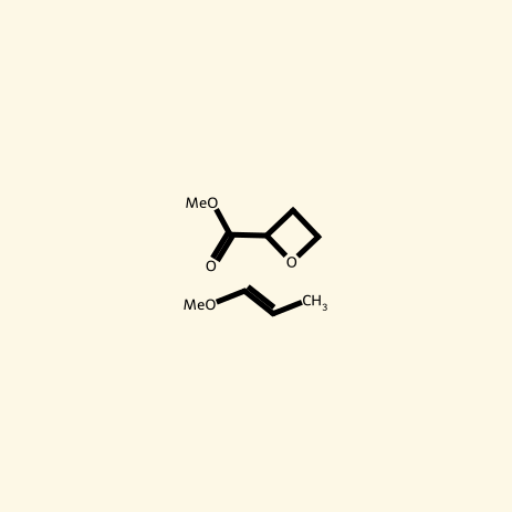 CC=COC.COC(=O)C1CCO1